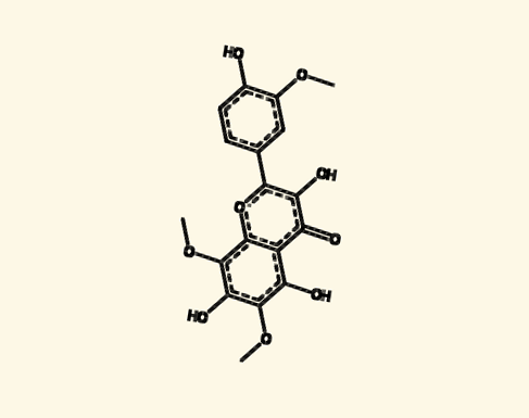 COc1cc(-c2oc3c(OC)c(O)c(OC)c(O)c3c(=O)c2O)ccc1O